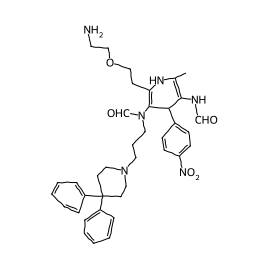 CC1=C(NC=O)C(c2ccc([N+](=O)[O-])cc2)C(N(C=O)CCCN2CCC(c3ccccc3)(c3ccccc3)CC2)=C(CCOCCN)N1